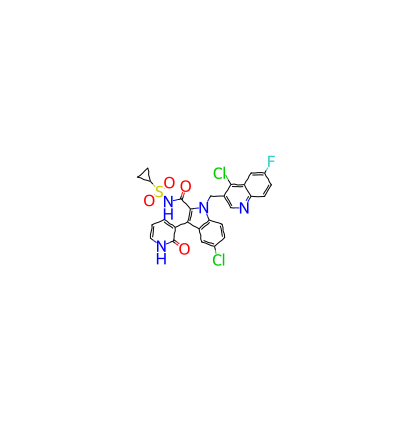 O=C(NS(=O)(=O)C1CC1)c1c(-c2ccc[nH]c2=O)c2cc(Cl)ccc2n1Cc1cnc2ccc(F)cc2c1Cl